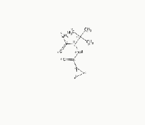 CC(=O)[C@@H](NC(=O)C1CC1)C(C)(C)C